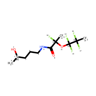 C[SiH](O)CCCNC(=O)C(F)(OC(F)(F)C(F)(F)C(F)(F)F)C(F)(F)F